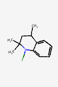 CC1CC(C)(C)N(F)c2ccccc21